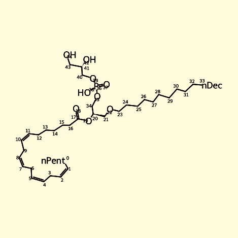 CCCCC/C=C\C/C=C\C/C=C\C/C=C\CCCCCC(=O)O[C@H](COCCCCCCCCCCCCCCCCCCCC)COP(=O)(O)OC[C@@H](O)CO